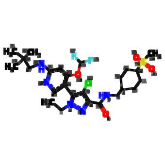 CCn1nc(C(=O)NCC2CCC(S(C)(=O)=O)CC2)c(Cl)c1-c1cnc(NCC(C)(C)C)cc1OC(F)F